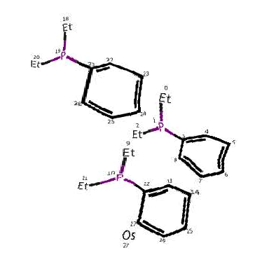 CCP(CC)c1ccccc1.CCP(CC)c1ccccc1.CCP(CC)c1ccccc1.[Os]